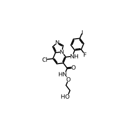 O=C(NOCCO)c1cc(Cl)c2cncn2c1Nc1ccc(I)cc1F